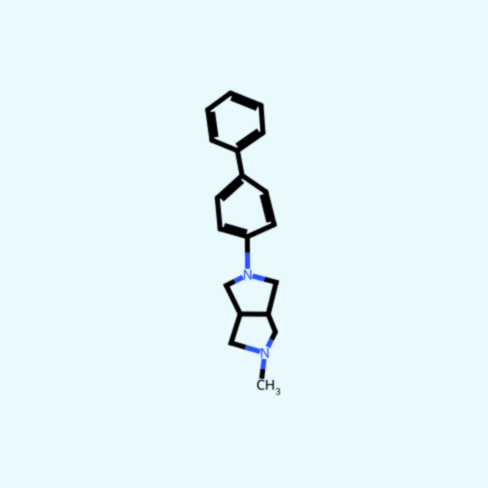 CN1CC2CN(c3ccc(-c4ccccc4)cc3)CC2C1